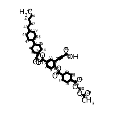 C#CC1(OC(=O)c2ccc(OC(=O)C3CCC(C(=O)OCOC(C)=O)CC3)c(C#CC(=O)O)c2)CCC(C2CCC(CCCCC)CC2)CC1